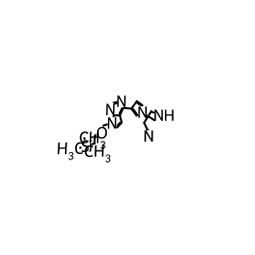 C[Si](C)(C)CCOCn1ccc2c(-c3ccn(C4(CC#N)CNC4)c3)ncnc21